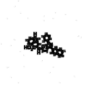 O=C(/C=C\c1cn(-c2ccccc2)nc1-c1ccc2ccccc2c1)N[C@@H](Cc1c[nH]c2ccccc12)C(=O)O